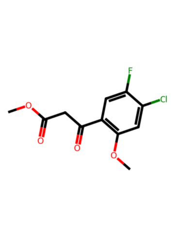 COC(=O)CC(=O)c1cc(F)c(Cl)cc1OC